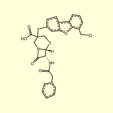 O=C(Cc1ccccc1)N[C@@H]1C(=O)N2CC(Sc3ccc4c(c3)oc3c(CCl)cccc34)(C(=O)O)CS[C@H]12